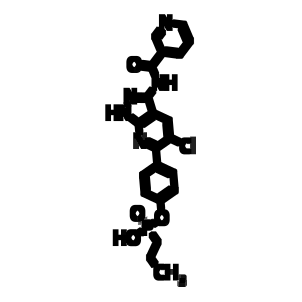 CCCP(=O)(O)Oc1ccc(-c2nc3[nH]nc(NC(=O)c4cccnc4)c3cc2Cl)cc1